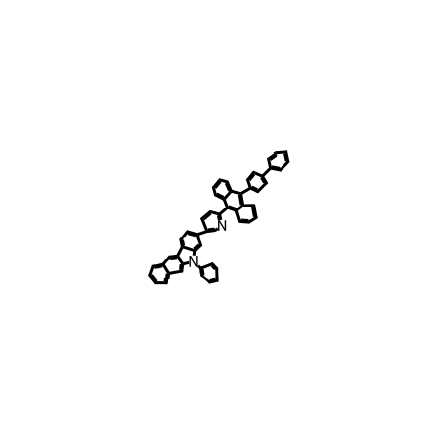 c1ccc(-c2ccc(-c3c4ccccc4c(-c4ccc(-c5ccc6c7cc8ccccc8cc7n(-c7ccccc7)c6c5)cn4)c4ccccc34)cc2)cc1